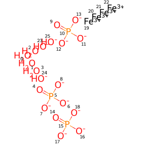 O.O.O.O.O=P([O-])([O-])[O-].O=P([O-])([O-])[O-].O=P([O-])([O-])[O-].[Fe+3].[Fe+3].[Fe+3].[Fe+3].[OH-].[OH-].[OH-]